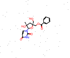 C[C@@]1(O)C[C@](CO)(COC(=O)c2ccccc2)O[C@H]1n1ccc(=O)[nH]c1=O